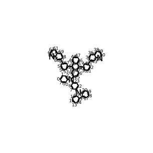 c1ccc(N(c2ccc(-n3c4ccccc4c4ccccc43)cc2)c2ccc3c(-c4cccc(-c5ccc6cccnc6c5)c4)c4ccccc4c(-c4cccc(-c5ccc6cccnc6c5)c4)c3c2)cc1